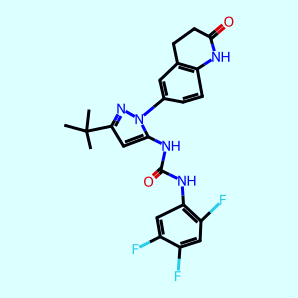 CC(C)(C)c1cc(NC(=O)Nc2cc(F)c(F)cc2F)n(-c2ccc3c(c2)CCC(=O)N3)n1